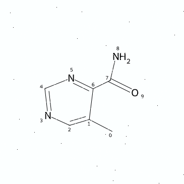 Cc1cncnc1C(N)=O